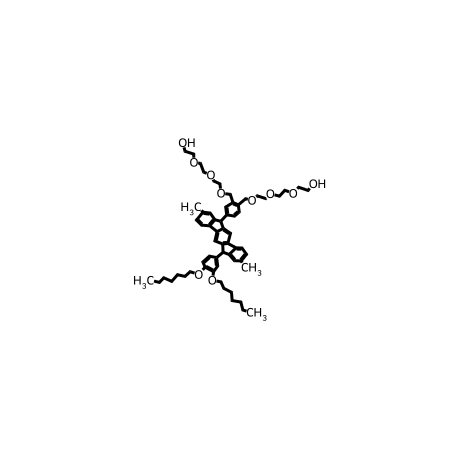 CCCCCCCOc1ccc(C2c3cc(C)ccc3-c3cc4c(cc32)-c2ccc(C)cc2C4c2ccc(COCCOCCOCCO)c(COCCOCCOCCO)c2)cc1OCCCCCCC